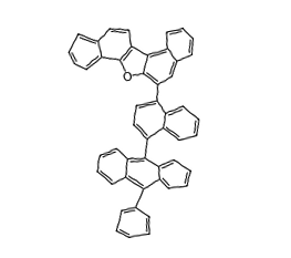 c1ccc(-c2c3ccccc3c(-c3ccc(-c4cc5ccccc5c5c4oc4c6ccccc6ccc45)c4ccccc34)c3ccccc23)cc1